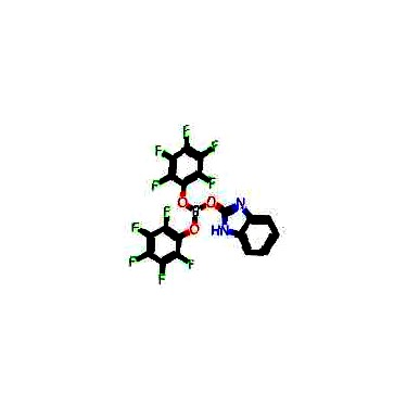 Fc1c(F)c(F)c(OB(Oc2nc3ccccc3[nH]2)Oc2c(F)c(F)c(F)c(F)c2F)c(F)c1F